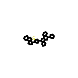 c1ccc(-c2cc3c4ccccc4c(-c4ccc5c(c4)Sc4cc6ccccc6c6cccc-5c46)cc3c3ccccc23)cc1